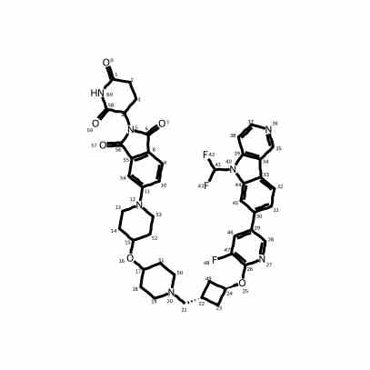 O=C1CCC(N2C(=O)c3ccc(N4CCC(OC5CCN(C[C@H]6C[C@H](Oc7ncc(-c8ccc9c%10cnccc%10n(C(F)F)c9c8)cc7F)C6)CC5)CC4)cc3C2=O)C(=O)N1